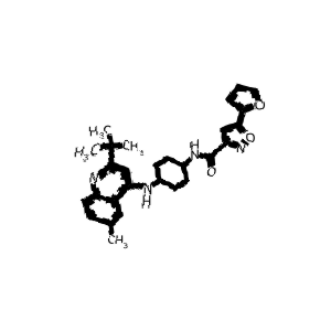 Cc1ccc2nc(C(C)(C)C)cc(NC3CCC(NC(=O)c4cc(-c5ccco5)on4)CC3)c2c1